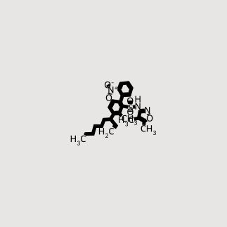 C=CC(CCCCCC)c1ccc(-c2ccccc2[N+](=O)[O-])c(S(=O)(=O)Nc2noc(C)c2C)c1C